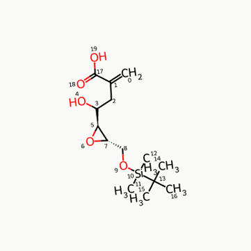 C=C(CC(O)[C@@H]1O[C@H]1CO[Si](C)(C)C(C)(C)C)C(=O)O